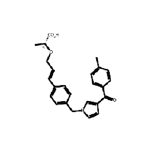 Cc1ccc(C(=O)c2ccn(Cc3ccc(C=CCO[C@H](C)C(=O)O)cc3)c2)cc1